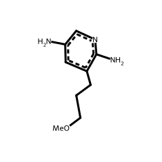 COCCCc1cc(N)cnc1N